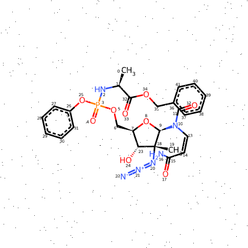 C[C@H](NP(=O)(OC[C@H]1O[C@@H](N(C=O)/C=C\C(N)=O)[C@](C)(N=[N+]=[N-])[C@@H]1O)Oc1ccccc1)C(=O)OCc1ccccc1